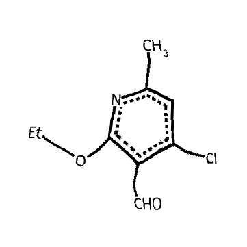 CCOc1nc(C)cc(Cl)c1C=O